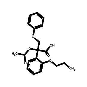 CCCOc1ccccc1C(COc1ccccc1)(OC(C)C)C(=O)O